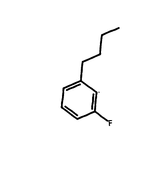 CCCCc1[c]c(F)ccc1